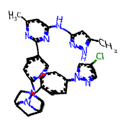 Cc1cc(Nc2cc(C)[nH]n2)nc(-c2ccc(N3CC4CC(C3)N4Cc3ccc(-n4cc(Cl)cn4)cc3)nc2)n1